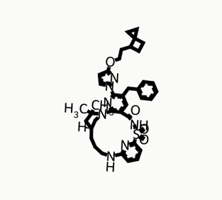 CC1(C)C[C@@H]2CCCNc3cccc(n3)S(=O)(=O)NC(=O)c3cc(Cc4ccccc4)c(-n4ccc(OCCC5CCC56CC6)n4)nc3N1C2